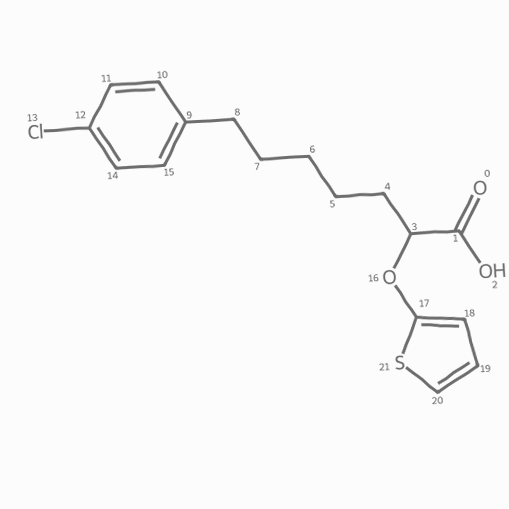 O=C(O)C(CCCCCc1ccc(Cl)cc1)Oc1cccs1